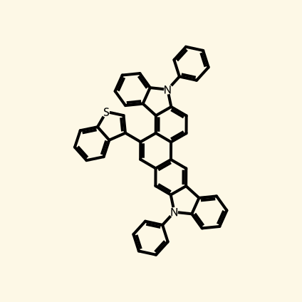 c1ccc(-n2c3ccccc3c3cc4c(cc(-c5csc6ccccc56)c5c4ccc4c5c5ccccc5n4-c4ccccc4)cc32)cc1